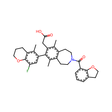 Cc1c(-c2c(C)c3c(c(C)c2CC(=O)O)CCN(C(=O)c2cccc4c2OCC4)CC3)cc(F)c2c1CCCO2